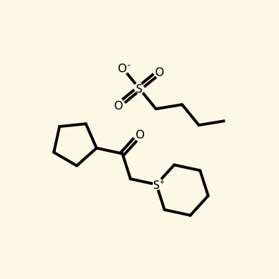 CCCCS(=O)(=O)[O-].O=C(C[S+]1CCCCC1)C1CCCC1